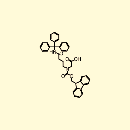 O=C(O)CN(CCCC(=O)NC(c1ccccc1)(c1ccccc1)c1ccccc1)C(=O)OCC1c2ccccc2-c2ccccc21